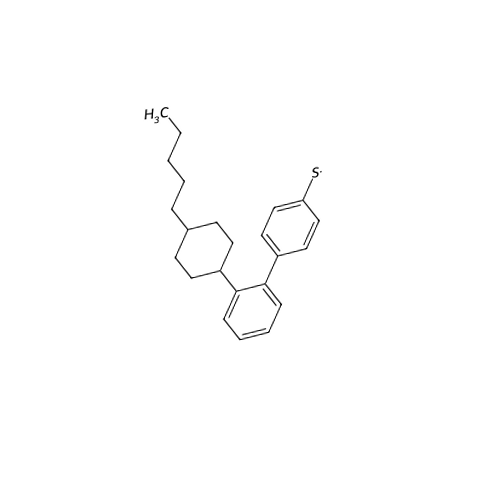 CCCCCC1CCC(c2ccccc2-c2ccc([S])cc2)CC1